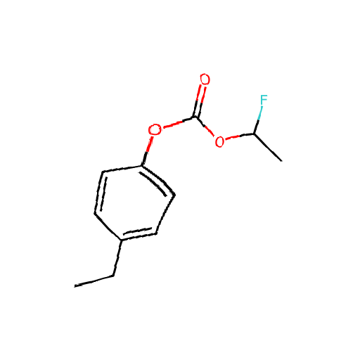 CCc1ccc(OC(=O)OC(C)F)cc1